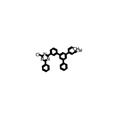 C#C/C=C(\C=C/C)c1cc(-c2ccccc2)cc(-c2cccc(-c3nc(Cl)nc(-c4ccccc4)n3)c2)c1